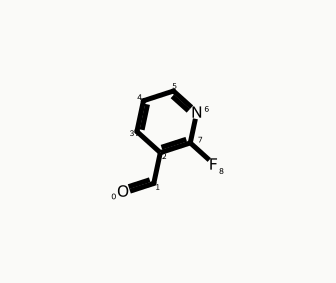 O=Cc1[c]ccnc1F